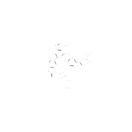 Cc1cc(F)c(Nc2nc(-c3cnc4c(c3)N(C3CC(C)(N5CCCCC5)C3)C(=O)C4(C)C)cc3ncn(C(C)C)c23)cc1C(=O)NC1(C(F)F)CC1